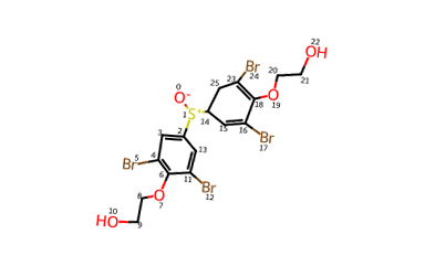 [O-][S+](c1cc(Br)c(OCCO)c(Br)c1)C1C=C(Br)C(OCCO)=C(Br)C1